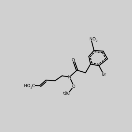 CC(C)(C)ON(CCC=CC(=O)O)C(=O)Cc1cc([N+](=O)[O-])ccc1Br